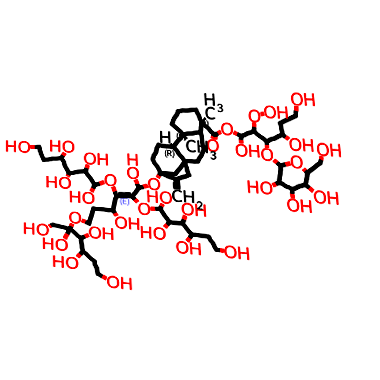 C=C1CC23CCC4[C@](C)(C(=O)OC(O)C(OO)C(OC5OC(CO)C(O)C(O)C5O)C(O)CCO)CCC[C@@]4(C)[C@@H]2CCC1(OC(O)/C(OC(O)C(O)C(O)C(O)CCO)=C(\OC(O)C(O)C(O)C(O)CCO)C(O)CCOC(O)(CO)C(O)C(O)CCO)C3